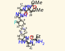 C=C1/C(=C\C(=C/C)c2ccc(-c3cnc([C@@H]4CCCN4C(=O)[C@@H](NC(=O)OC)[C@H](C)OC)[nH]3)c(F)c2)CCc2[nH]c([C@@H]3CCCN3C(=O)[C@@H](N)CC)nc21